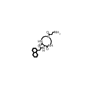 NCCC(=O)N1CCCNC(=O)C(NC(=O)Cc2cccc3ccccc23)C(=O)NCCC1